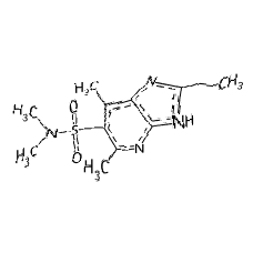 CCc1nc2c(C)c(S(=O)(=O)N(C)C)c(C)nc2[nH]1